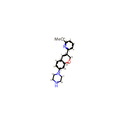 COc1cccc(C2=Cc3ccc(N4CCNCC4)cc3OC2)n1